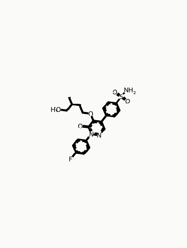 CC(CO)CCOc1c(-c2ccc(S(N)(=O)=O)cc2)cnn(-c2ccc(F)cc2)c1=O